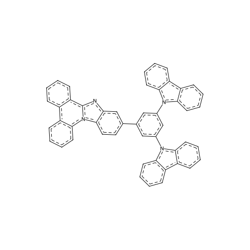 c1ccc2c(c1)c1ccccc1n1c3ccc(-c4cc(-n5c6ccccc6c6ccccc65)cc(-n5c6ccccc6c6ccccc65)c4)cc3nc21